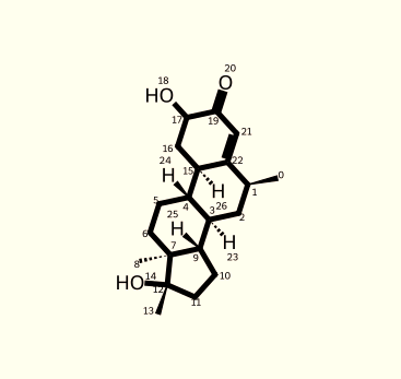 C[C@H]1C[C@@H]2[C@H](CC[C@@]3(C)[C@H]2CC[C@]3(C)O)[C@H]2CC(O)C(=O)C=C12